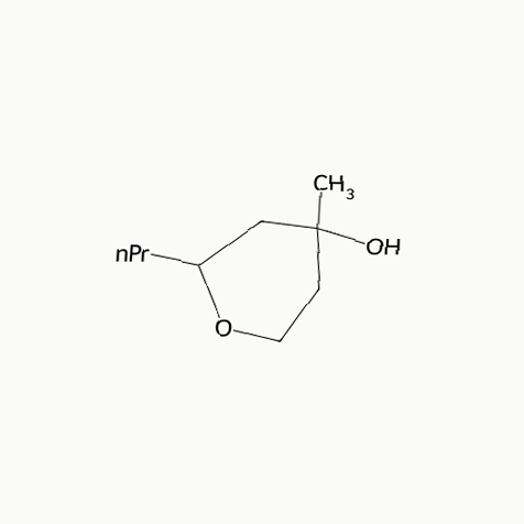 CCCC1CC(C)(O)CCO1